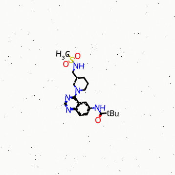 CC(C)(C)C(=O)Nc1ccc2ncnc(N3CCCC(CNS(C)(=O)=O)C3)c2c1